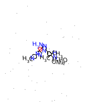 COCC(NC=O)c1c(C)cc(-c2cnc(N)c(Oc3cnn(C4CCN(C)CC4)c3)n2)cc1C